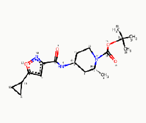 C[C@@H]1C[C@@H](NC(=O)c2cc(C3CC3)on2)CCN1C(=O)OC(C)(C)C